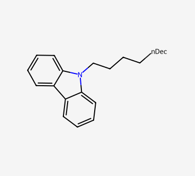 CCCCCCCCCCCCCCn1c2ccccc2c2ccccc21